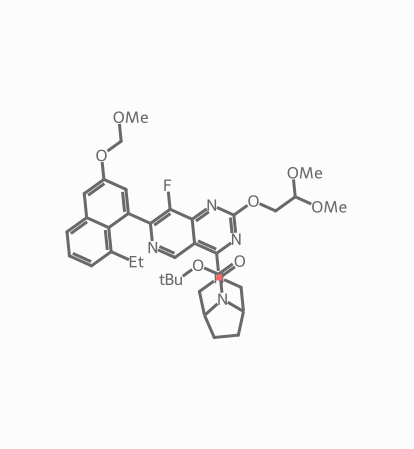 CCc1cccc2cc(OCOC)cc(-c3ncc4c(N5CC6CCC(C5)N6C(=O)OC(C)(C)C)nc(OCC(OC)OC)nc4c3F)c12